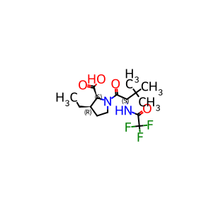 CC[C@@H]1CCN(C(=O)[C@@H](NC(=O)C(F)(F)F)C(C)(C)C)[C@@H]1C(=O)O